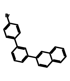 Brc1ccc(-c2cccc(-c3ccc4ccccc4c3)c2)cc1